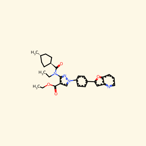 CCOC(=O)c1cn(-c2ccc(-c3cc4ncccc4o3)cc2)nc1N(CC)C(=O)[C@H]1CC[C@H](C)CC1